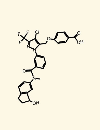 CN(C(=O)c1cccc(-n2nc(C(F)(F)F)c(Cl)c2COc2ccc(C(=O)O)cc2)c1)c1ccc2c(c1)C(O)CC2